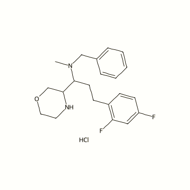 CN(Cc1ccccc1)C(CCc1ccc(F)cc1F)C1COCCN1.Cl